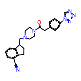 N#Cc1cccc2c1CCC2CN1CCN(C(=O)Cc2ccc(-n3cnnn3)cc2)CC1